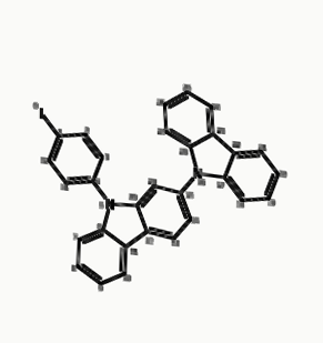 Ic1ccc(-n2c3ccccc3c3ccc(-n4c5ccccc5c5ccccc54)cc32)cc1